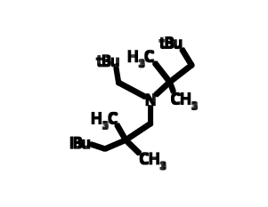 CCC(C)CC(C)(C)CN(CC(C)(C)C)C(C)(C)CC(C)(C)C